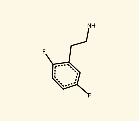 [NH]CCc1cc(F)ccc1F